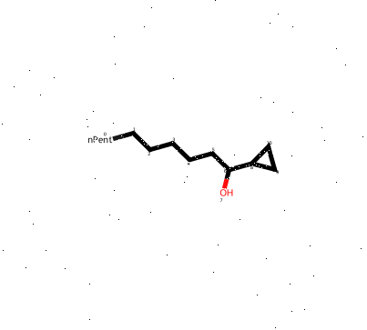 CCCCCCCCCCC(O)[C]1CC1